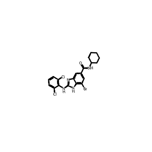 O=C(NC1CCCCC1)c1cc(Br)c2[nH]c(Nc3c(Cl)cccc3Cl)nc2c1